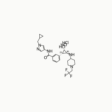 Cl.Cl.Cl.O=C(Nc1cnn(CC2CC2)c1)c1cccc([C@@H]2C[C@H]2NC2CCN(CC(F)(F)F)CC2)c1